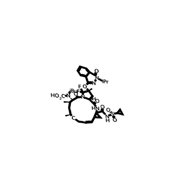 CCC(C)N(C(=O)O)[C@@H]1C(=O)N2[C@@H](C[C@@](C)(Oc3nn(C(C)C)c(=O)c4ccccc34)C2(F)F)C(=O)NC2(C(=O)NS(=O)(=O)C3CC3)CC2/C=C\CC[C@@H](C)C[C@H]1C